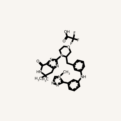 Cn1cnnc1-c1cccc(Nc2cccc(CC3COCCN3c3nc4c(s3)C(=O)NC(C)(C)C4)c2)c1.O=C(O)C(F)(F)F